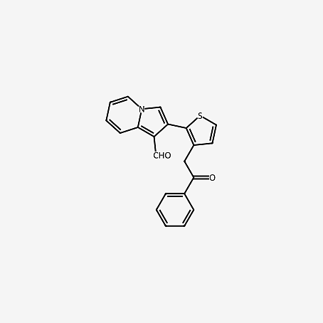 O=Cc1c(-c2sccc2CC(=O)c2ccccc2)cn2ccccc12